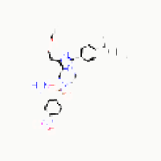 CCO/C=C\c1nc(-c2ccc(C(C)C)cc2)n2c1[C@@H](CN)N(S(=O)(=O)c1ccc([N+](=O)[O-])cc1)CC2